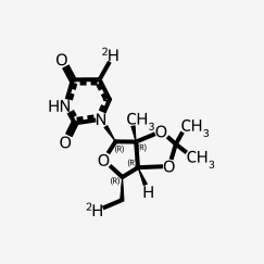 [2H]C[C@H]1O[C@@H](n2cc([2H])c(=O)[nH]c2=O)[C@]2(C)OC(C)(C)O[C@H]12